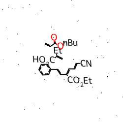 C=C(CC)C(=O)O.C=CC(=O)OCCCC.CCOC(=O)C(C=Cc1ccccc1)=CC=CC#N